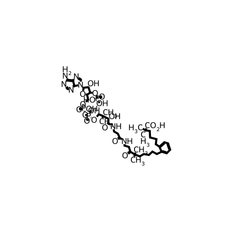 CC(C)(CCCCc1ccccc1CCCCCC(C)(C)C(=O)CCNC(=O)CCNC(=O)C(O)C(C)(C)COP(=O)(O)OP(=O)(O)OCC1OC(n2cnc3c(N)ncnc32)C(O)C1OP(=O)(O)O)C(=O)O